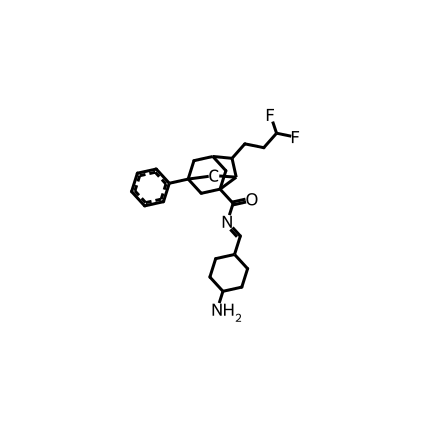 NC1CCC(/C=N/C(=O)C23CC4CC(c5ccccc5)(CC2C4CCC(F)F)C3)CC1